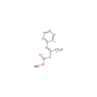 CC(C)(C)OC(=O)C/C(=C/c1ccccc1)C(=O)O